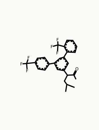 CC(=O)C(CC(C)C)c1cc(-c2ccc(C(F)(F)F)cc2)cc(-c2ccccc2C(F)(F)F)c1